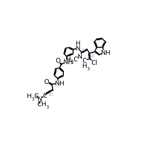 C=N/C(=C\C(=C(/C)Cl)c1c[nH]c2ccccc12)Nc1cccc(NC(=O)c2ccc(NC(=O)/C=C/CN(C)C)cc2)c1